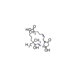 CCCCC(C)(C)[C@@H](O)/C=C/[C@H]1[C@H](O)CC(=O)[C@@H]1C/C=C\CCCC(=O)O